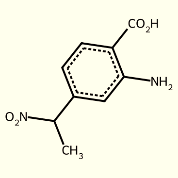 CC(c1ccc(C(=O)O)c(N)c1)[N+](=O)[O-]